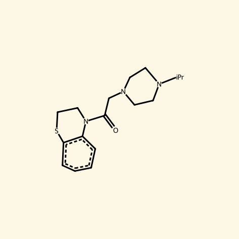 CC(C)N1CCN(CC(=O)N2CCSc3ccccc32)CC1